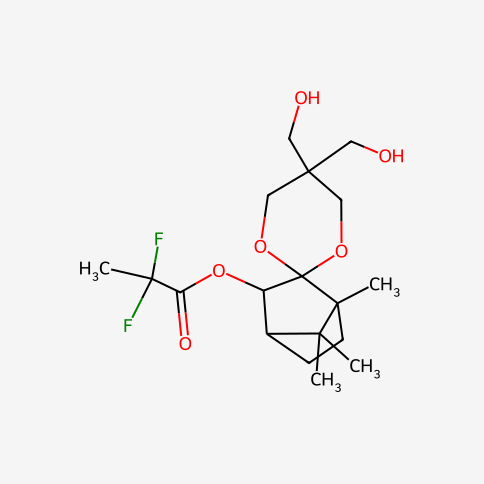 CC(F)(F)C(=O)OC1C2CCC(C)(C2(C)C)C12OCC(CO)(CO)CO2